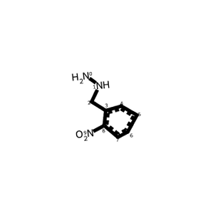 NNCc1ccccc1[N+](=O)[O-]